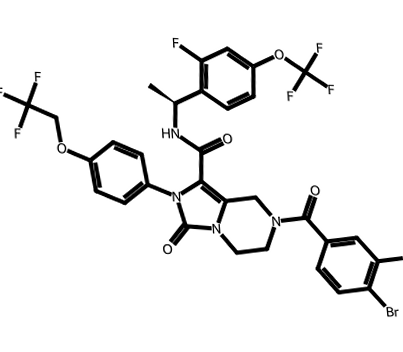 C[C@H](NC(=O)c1c2n(c(=O)n1-c1ccc(OCC(F)(F)F)cc1)CCN(C(=O)c1ccc(Br)c(Cl)c1)C2)c1ccc(OC(F)(F)F)cc1F